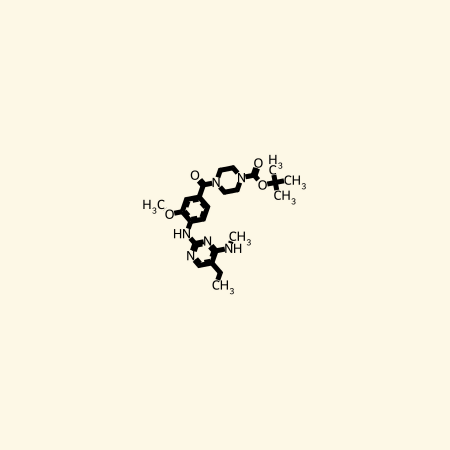 CCc1cnc(Nc2ccc(C(=O)N3CCN(C(=O)OC(C)(C)C)CC3)cc2OC)nc1NC